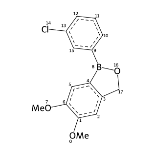 COc1cc2c(cc1OC)B(c1cccc(Cl)c1)OC2